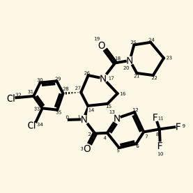 CN(C(=O)c1ccc(C(F)(F)F)cn1)[C@@H]1CCN(C(=O)N2CCCCC2)C[C@H]1c1ccc(Cl)c(Cl)c1